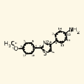 COc1ccc(-c2nc(-c3ccc(N)cc3)cs2)cc1